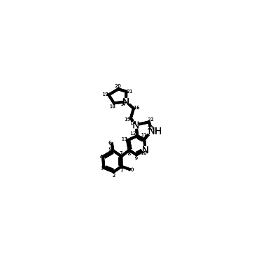 Cc1cccc(C)c1-c1cnc2c(c1)N(CCN1CCCC1)CN2